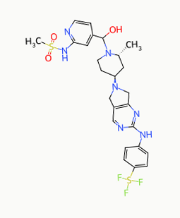 C[C@@H]1C[C@@H](N2Cc3cnc(Nc4ccc(S(F)(F)F)cc4)nc3C2)CCN1C(O)c1ccnc(NS(C)(=O)=O)c1